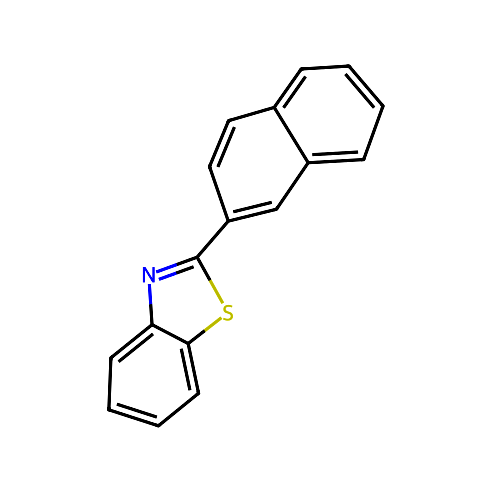 c1ccc2cc(-c3nc4ccccc4s3)ccc2c1